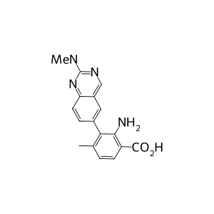 CNc1ncc2cc(-c3c(C)ccc(C(=O)O)c3N)ccc2n1